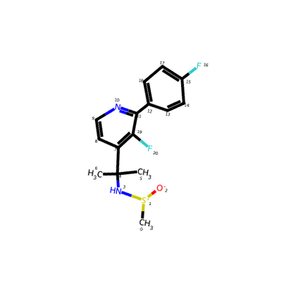 C[S+]([O-])NC(C)(C)c1ccnc(-c2ccc(F)cc2)c1F